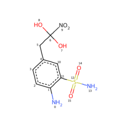 Nc1ccc(CC(O)(O)[N+](=O)[O-])cc1S(N)(=O)=O